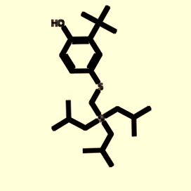 CC(C)C[Si](CSc1ccc(O)c(C(C)(C)C)c1)(CC(C)C)CC(C)C